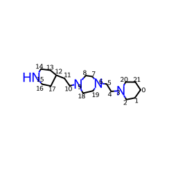 C1CCN(CCN2CCN(CCC3CCNCC3)CC2)CC1